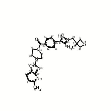 Cc1ccc2oc(N3CCN(C(=O)c4ccc(-c5cn(CC6(C)COC6)[nH]5)cc4)CC3)nc2n1